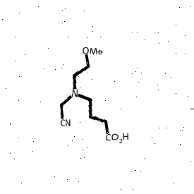 COCCN(CC#N)CCCC(=O)O